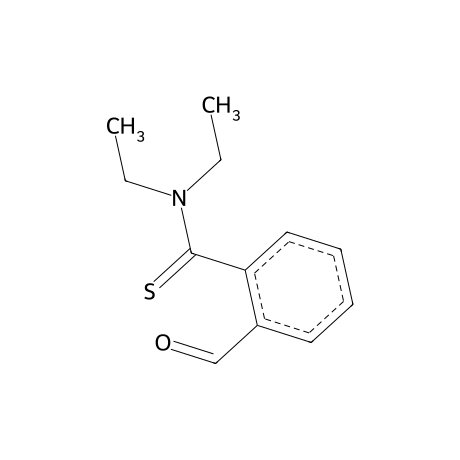 CCN(CC)C(=S)c1ccccc1C=O